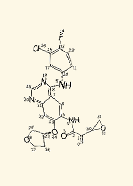 C=C(C(=O)Nc1cc2c(Nc3ccc(F)c(Cl)c3)ncnc2cc1O[C@H]1CCOC1)C1CO1